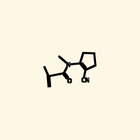 C=C(C)C(=O)N(C)C1=C(C#N)CCC1